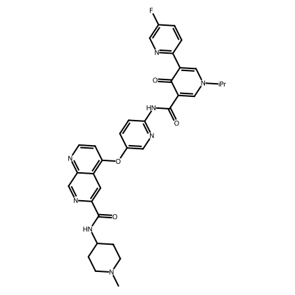 CC(C)n1cc(C(=O)Nc2ccc(Oc3ccnc4cnc(C(=O)NC5CCN(C)CC5)cc34)cn2)c(=O)c(-c2ccc(F)cn2)c1